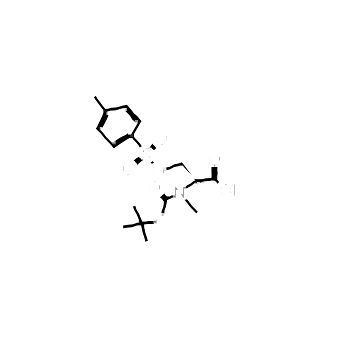 Cc1ccc(S(=O)(=O)OC[C@@H](C(=O)O)N(C)C(=O)OC(C)(C)C)cc1